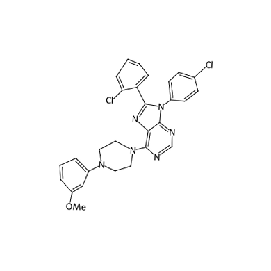 COc1cccc(N2CCN(c3ncnc4c3nc(-c3ccccc3Cl)n4-c3ccc(Cl)cc3)CC2)c1